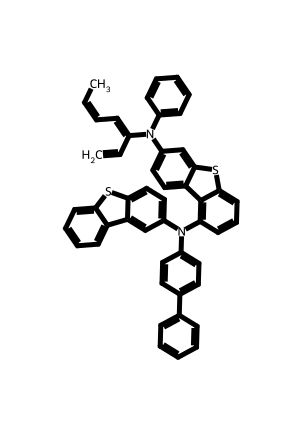 C=C/C(=C\C=C/C)N(c1ccccc1)c1ccc2c(c1)sc1cccc(N(c3ccc(-c4ccccc4)cc3)c3ccc4sc5ccccc5c4c3)c12